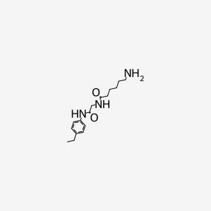 CCc1ccc(NC(=O)CNC(=O)CCCCCN)cc1